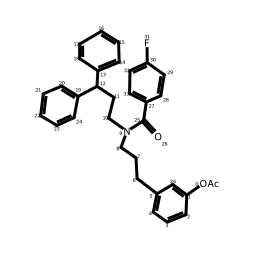 CC(=O)Oc1cccc(CCCN(CCC(c2ccccc2)c2ccccc2)C(=O)c2ccc(F)cc2)c1